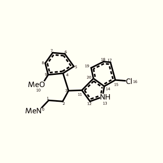 CNCCC(c1ccccc1OC)c1c[nH]c2c(Cl)cccc12